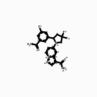 NC(=O)c1cc(F)cc(C2CC(F)(F)CN2c2ccn3ncc(C(N)=O)c3c2)c1